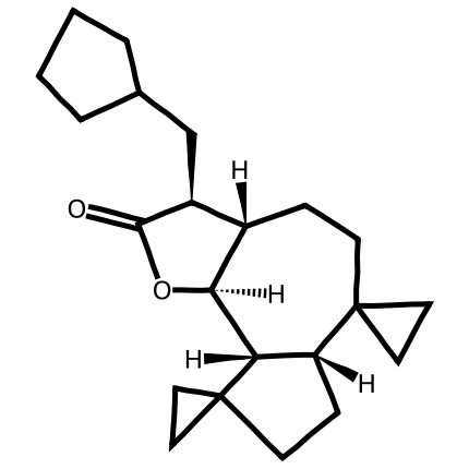 O=C1O[C@H]2[C@@H](CCC3(CC3)[C@@H]3CCC4(CC4)[C@H]23)[C@@H]1CC1CCCC1